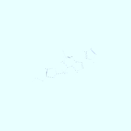 COCc1cc(Nc2nc(C)cn3c(-c4nccs4)cnc23)sn1